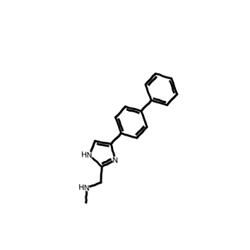 CNCc1nc(-c2ccc(-c3ccccc3)cc2)c[nH]1